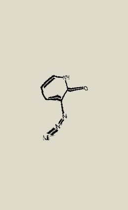 [N-]=[N+]=Nc1ccc[nH]c1=O